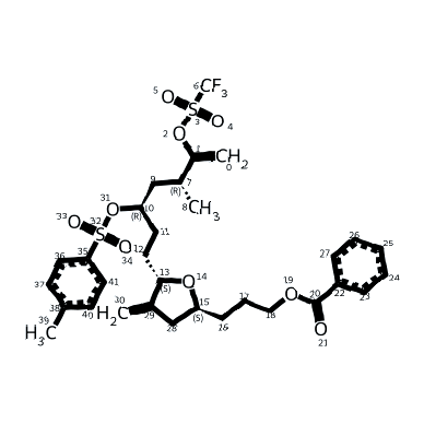 C=C(OS(=O)(=O)C(F)(F)F)[C@H](C)C[C@@H](CC[C@@H]1O[C@@H](CCCOC(=O)c2ccccc2)CC1=C)OS(=O)(=O)c1ccc(C)cc1